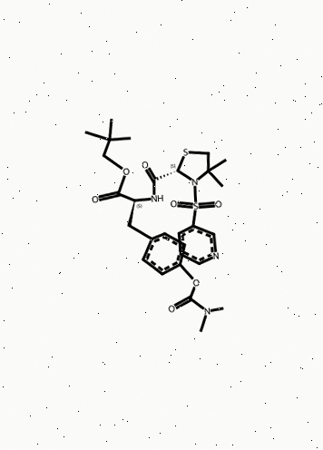 CN(C)C(=O)Oc1ccc(C[C@H](NC(=O)[C@@H]2SCC(C)(C)N2S(=O)(=O)c2cccnc2)C(=O)OCC(C)(C)C)cc1